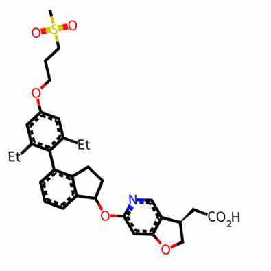 CCc1cc(OCCCS(C)(=O)=O)cc(CC)c1-c1cccc2c1CCC2Oc1cc2c(cn1)[C@@H](CC(=O)O)CO2